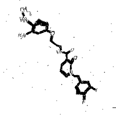 CNc1ccc(OCCNC(=O)c2cccn(Cc3ccc(F)c(F)c3)c2=O)cc1N